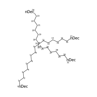 CCCCCCCCCCCCCCCCCCC[PH](CCCCCCCCCCCCCCCC)(CCCCCCCCCCCCCCCC)CCCCCCCCCCCCCCCC